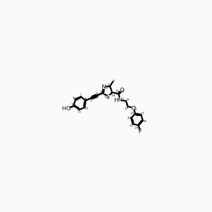 CC1N=C(C#Cc2ccc(O)cc2)SC1C(=O)NCCOc1ccc(F)cc1